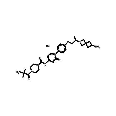 CC(COc1ccc(-n2ccc(NC(=O)N3CCN(C(=O)C(C)(C)N)CC3)nc2=O)cc1)N1CC2(CC(N)C2)C1.Cl